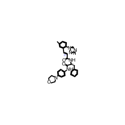 Cc1ccc(-n2cnnn2)c(/C=C/C(=O)N[C@@H](Cc2ccccc2)C(=O)Nc2ccc(N3CCOCC3)cc2)c1